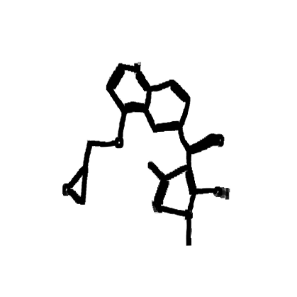 Cc1nn(C)c(O)c1C(=O)c1ccc2nccc(OCC3CO3)c2c1